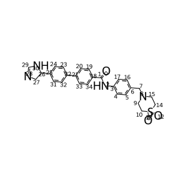 O=C(Nc1ccc(CN2CCS(=O)(=O)CC2)cc1)c1ccc(-c2ccc(C3CN=CN3)cc2)cc1